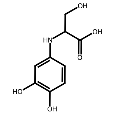 O=C(O)C(CO)Nc1ccc(O)c(O)c1